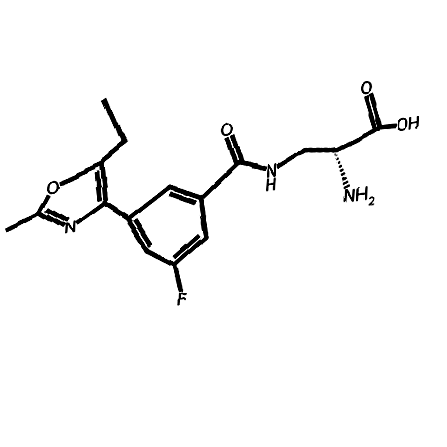 CCc1oc(C)nc1-c1cc(F)cc(C(=O)NC[C@@H](N)C(=O)O)c1